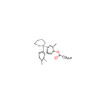 COC(=O)Oc1ccc(C2(c3ccc(C)c(C)c3)CCCCC2)cc1C